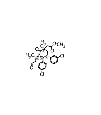 COC(=O)C[C@@]1(C)C[C@H](c2cccc(Cl)c2)[C@@H](c2ccc(Cl)cc2)N([C@@H](C)CC=O)C1=O